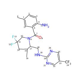 Cc1ccc(N)c(C(=O)N2CC(F)(F)CC(C)C2CNc2ncc(C(F)(F)F)cn2)c1